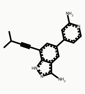 CC(C)C#Cc1cc(-c2ccnc(N)c2)cc2c(N)n[nH]c12